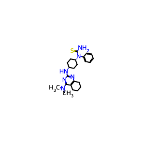 CN(C)c1nc(N[C@H]2CC[C@@H](N(C(N)=S)c3ccccc3)CC2)nc2c1CCCC2